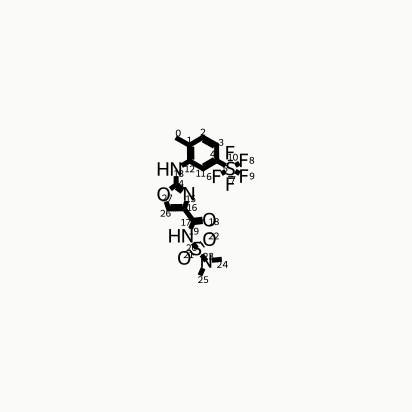 Cc1ccc(S(F)(F)(F)(F)F)cc1Nc1nc(C(=O)NS(=O)(=O)N(C)C)co1